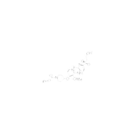 COc1c(OC2CCN(C(=O)OC(C)C)CC2)ccnc1Nc1ccc(S(=O)(=O)CCO)nc1F